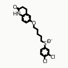 O=C1CCc2cc(OCCCCC[S+]([O-])c3ccc(Cl)c(Cl)c3)ccc2N1